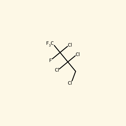 FC(F)(F)C(F)(Cl)C(Cl)(Cl)CCl